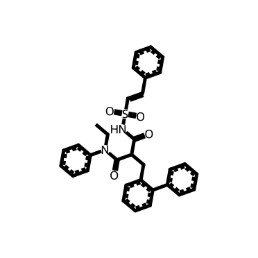 CCN(C(=O)C(Cc1ccccc1-c1ccccc1)C(=O)NS(=O)(=O)C=Cc1ccccc1)c1ccccc1